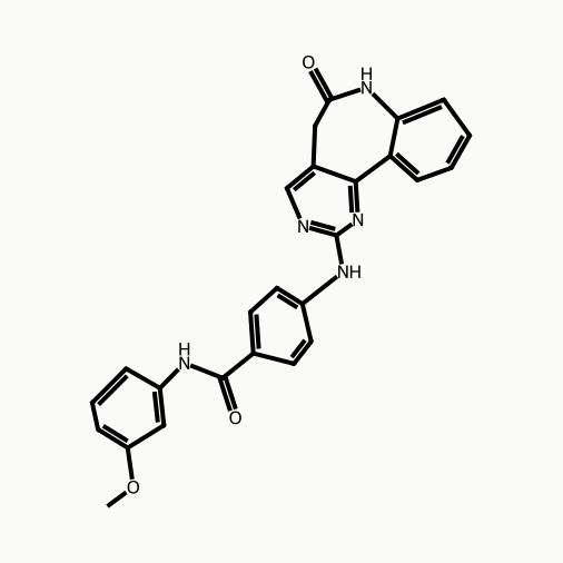 COc1cccc(NC(=O)c2ccc(Nc3ncc4c(n3)-c3ccccc3NC(=O)C4)cc2)c1